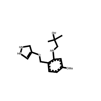 COc1ccc(COC2=CNNC2)c(NCC(C)(C)O)c1